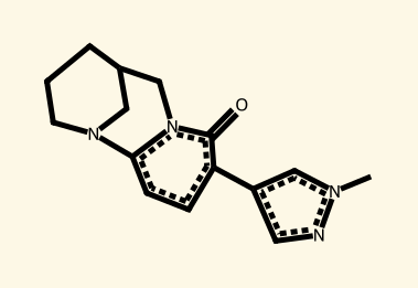 Cn1cc(-c2ccc3n(c2=O)CC2CCCN3C2)cn1